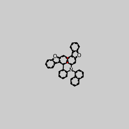 c1ccc(N(c2ccc3c(c2)oc2ccccc23)c2cccc3ccccc23)c(-c2cccc3oc4ccccc4c23)c1